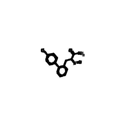 NC(=O)C(Cc1ccccc1-c1ccc(Cl)cc1)[S+]=O